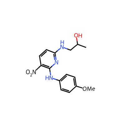 COc1ccc(Nc2nc(NCC(C)O)ccc2[N+](=O)[O-])cc1